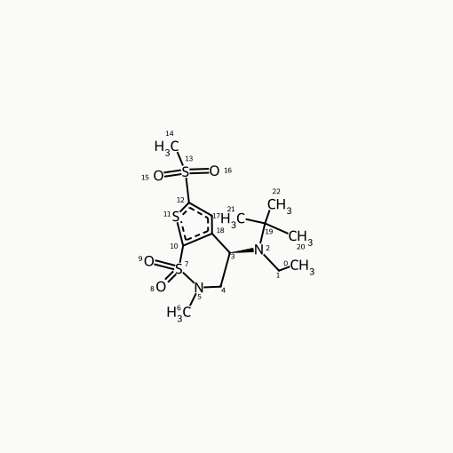 CCN([C@H]1CN(C)S(=O)(=O)c2sc(S(C)(=O)=O)cc21)C(C)(C)C